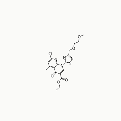 CCOC(=O)c1cn(-c2nc(COCCOC)ns2)c2nc(Cl)cc(C)c2c1=O